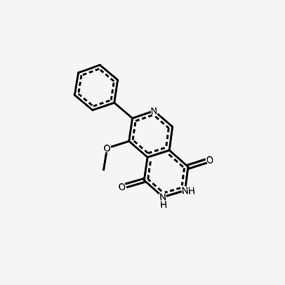 COc1c(-c2ccccc2)ncc2c(=O)[nH][nH]c(=O)c12